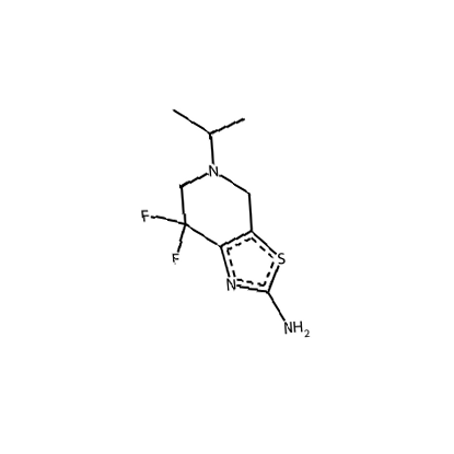 CC(C)N1Cc2sc(N)nc2C(F)(F)C1